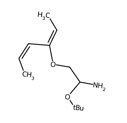 C/C=C\C(=C/C)OCC(N)OC(C)(C)C